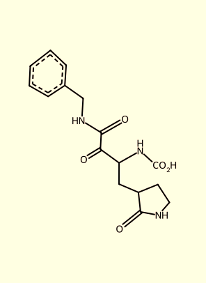 O=C(O)NC(CC1CCNC1=O)C(=O)C(=O)NCc1ccccc1